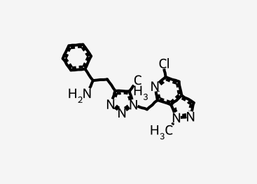 Cc1c(CC(N)c2ccccc2)nnn1Cc1nc(Cl)cc2cnn(C)c12